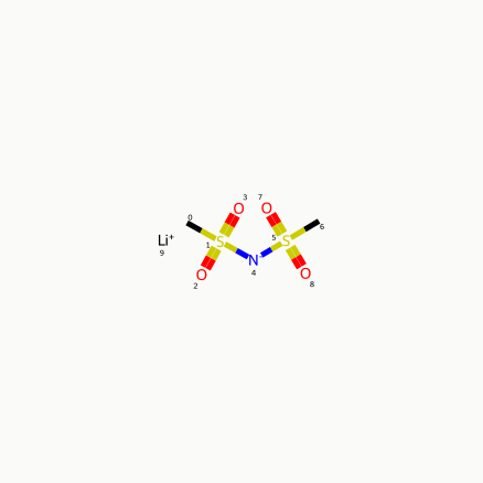 CS(=O)(=O)[N-]S(C)(=O)=O.[Li+]